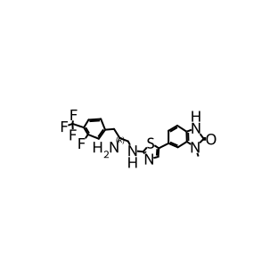 Cn1c(=O)[nH]c2ccc(-c3cnc(NC[C@H](N)Cc4ccc(C(F)(F)F)c(F)c4)s3)cc21